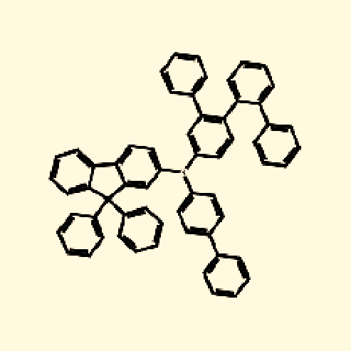 c1ccc(-c2ccc(N(c3ccc(-c4ccccc4-c4ccccc4)c(-c4ccccc4)c3)c3ccc4c(c3)C(c3ccccc3)(c3ccccc3)c3ccccc3-4)cc2)cc1